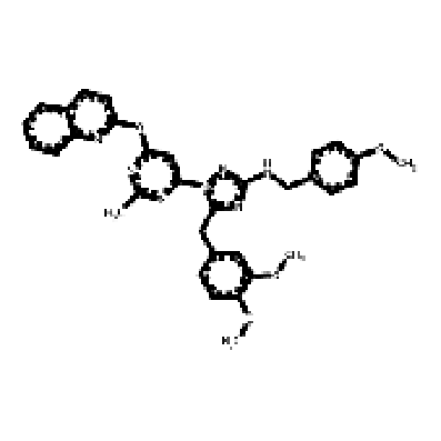 COc1ccc(CNc2nc(Cc3ccc(OC)c(OC)c3)n(-c3cc(Oc4ccc5ccccc5n4)nc(C)n3)n2)cc1